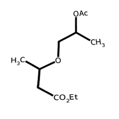 CCOC(=O)CC(C)OCC(C)OC(C)=O